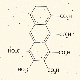 O=C(O)c1c(C(=O)O)c(C(=O)O)c2c(C(=O)O)c3c(C(=O)O)cccc3cc2c1C(=O)O